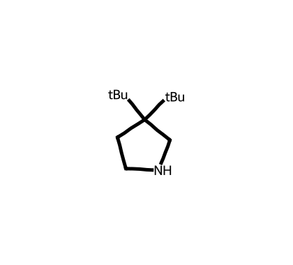 CC(C)(C)C1(C(C)(C)C)CCNC1